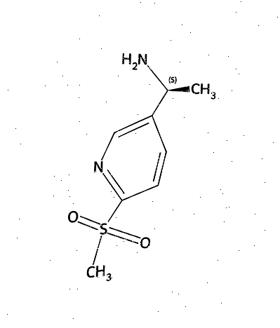 C[C@H](N)c1ccc(S(C)(=O)=O)nc1